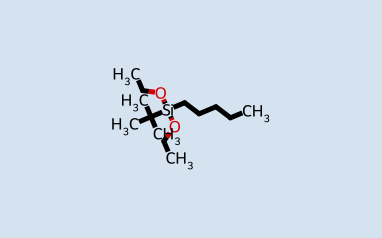 CCCCC[Si](OCC)(OCC)C(C)(C)C